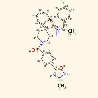 Cc1noc(-c2ccc(C(=O)N3CCC(C(=O)N[C@@H](C)c4ccc(Cl)cc4)(c4ccccc4)CC3)cc2)n1